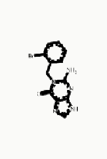 Nc1nc2[nH]cnc2c(=O)n1Cc1ccccc1Br